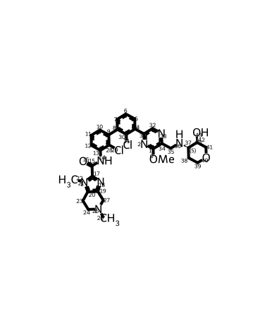 COc1nc(-c2cccc(-c3cccc(NC(=O)c4nc5c(n4C)CCN(C)C5)c3Cl)c2Cl)cnc1CN[C@H]1CCOC[C@@H]1O